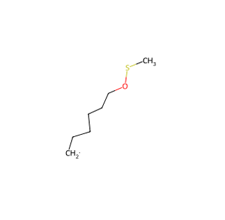 [CH2]CCCCCOSC